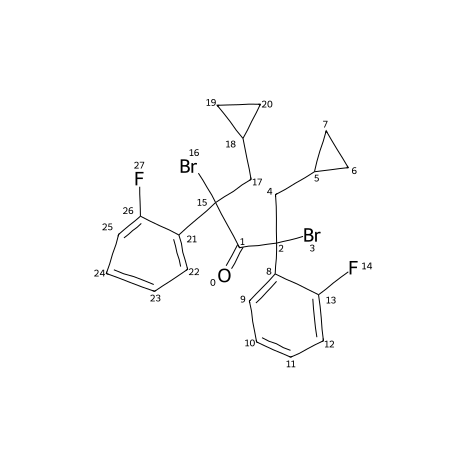 O=C(C(Br)(CC1CC1)c1ccccc1F)C(Br)(CC1CC1)c1ccccc1F